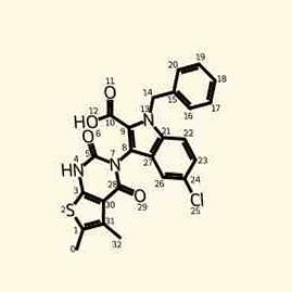 Cc1sc2[nH]c(=O)n(-c3c(C(=O)O)n(Cc4ccccc4)c4ccc(Cl)cc34)c(=O)c2c1C